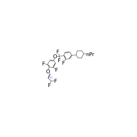 CCCC1CCC(c2ccc(C(F)(F)Oc3cc(F)c(O/C=C/C(F)F)c(F)c3)c(F)c2)CC1